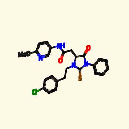 COc1ccc(NC(=O)CC2C(=O)N(c3ccccc3)C(=S)N2CCc2ccc(Cl)cc2)cn1